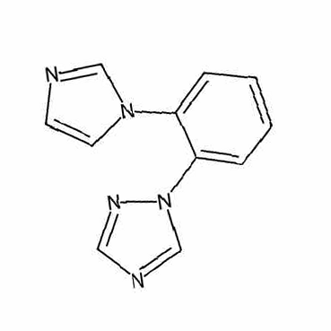 c1ccc(-n2cncn2)c(-n2ccnc2)c1